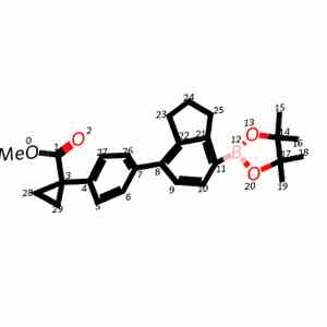 COC(=O)C1(c2ccc(-c3ccc(B4OC(C)(C)C(C)(C)O4)c4c3CCC4)cc2)CC1